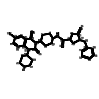 O=C(NC1CCC(n2c(=O)c3cc(F)cnc3n(C3CCSCC3)c2=O)CC1)C1CC(=O)N(Cc2ccccc2)C1